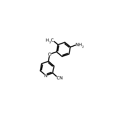 Cc1cc(N)ccc1Oc1ccnc(C#N)c1